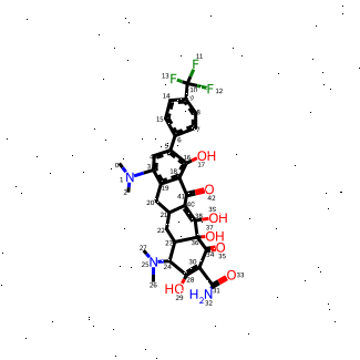 CN(C)c1cc(-c2ccc(C(F)(F)F)cc2)c(O)c2c1CC1CC3C(N(C)C)C(O)=C(C(N)=O)C(=O)C3(O)C(O)=C1C2=O